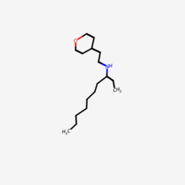 CCCCCCCC(CC)NCCC1CCOCC1